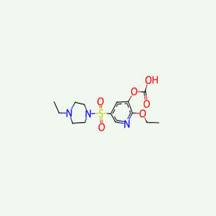 CCOc1ncc(S(=O)(=O)N2CCN(CC)CC2)cc1OC(=O)O